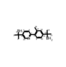 BC(C)(C)c1ccc(-c2ccc(C(B)(C)C)cc2C)nc1